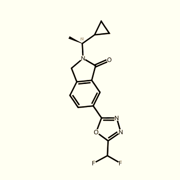 C[C@@H](C1CC1)N1Cc2ccc(-c3nnc(C(F)F)o3)cc2C1=O